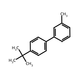 Cc1cc[c]c(-c2ccc(C(C)(C)C)cc2)c1